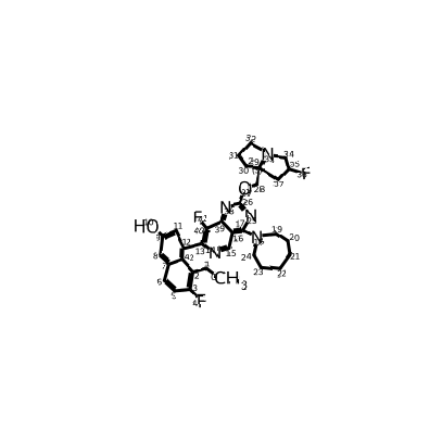 CCc1c(F)ccc2cc(O)cc(-c3ncc4c(N5CCCCCC5)nc(OC[C@@]56CCCN5CC(F)C6)nc4c3F)c12